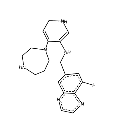 Fc1cc(CNC2=CNCC=C2N2CCCNCC2)cc2nccnc12